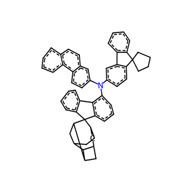 c1ccc2c(c1)-c1cc(N(c3ccc4c(ccc5ccccc54)c3)c3cccc4c3-c3ccccc3C43C4CCC5CC3C3CC(C4)C53)ccc1C21CCCC1